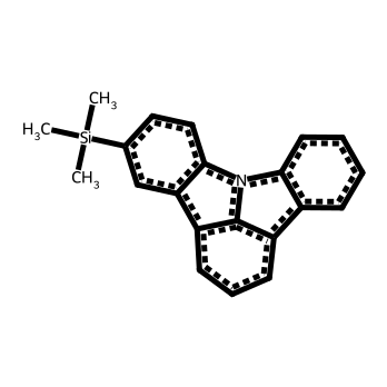 C[Si](C)(C)c1ccc2c(c1)c1cccc3c4ccccc4n2c31